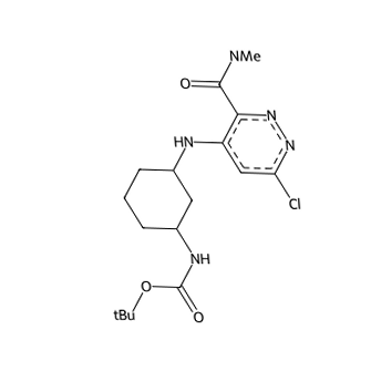 CNC(=O)c1nnc(Cl)cc1NC1CCCC(NC(=O)OC(C)(C)C)C1